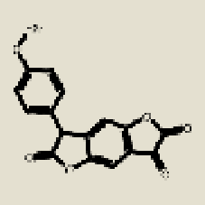 CCCOc1ccc(C2C(=O)Oc3cc4c(cc32)OC(=O)C4=O)cc1